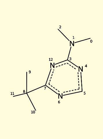 CN(C)c1ncnc(C(C)(C)C)n1